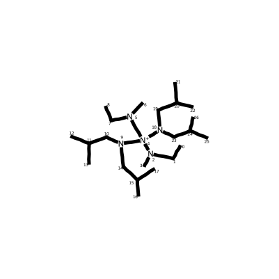 CCN(C)[N+](N(C)CC)(N(CC(C)C)CC(C)C)N(CC(C)C)CC(C)C